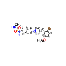 CNS(=O)(=O)NC1CCC(CCN2CCC(Cc3cc(OC)ccc3Br)CC2)CC1